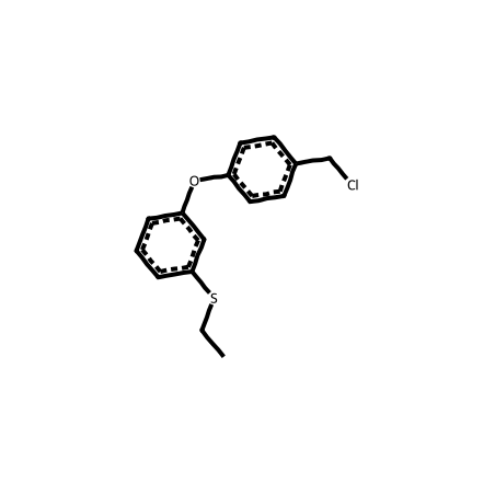 CCSc1cccc(Oc2ccc(CCl)cc2)c1